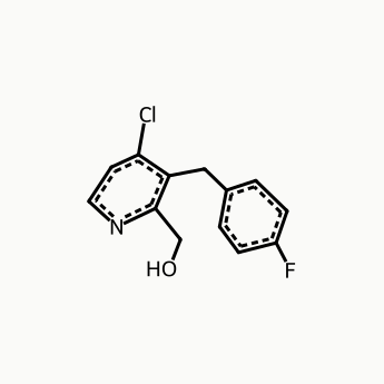 OCc1nccc(Cl)c1Cc1ccc(F)cc1